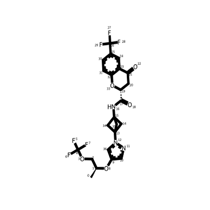 C[C@@H](COC(F)(F)F)Oc1cnn(C23CC(NC(=O)[C@H]4CC(=O)c5cc(C(F)(F)F)ccc5O4)(C2)C3)c1